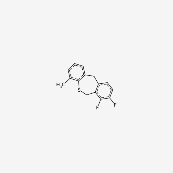 Cc1cccc2c1SCc1c(ccc(F)c1F)C2